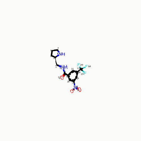 O=C(NC[C@H]1CCCN1)c1cc([N+](=O)[O-])cc(C(F)(F)F)c1